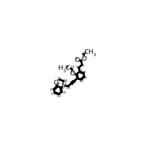 CCOC(=O)CCc1cccc(C#CCN2CCOc3ccccc32)c1OCC